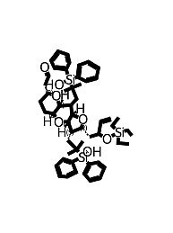 C=CC(C[C@H]1O[C@H]2C(CC(C)(C)[Si](O)(c3ccccc3)c3ccccc3)[C@H]3O[C@@H](CC=O)CC[C@@H]3O[C@H]2[C@H]1CC(C)(C)[Si](O)(c1ccccc1)c1ccccc1)O[Si](CC)(CC)CC